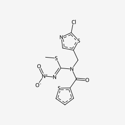 CSC(=N[N+](=O)[O-])N(Cc1cnc(Cl)s1)C(=O)c1cccs1